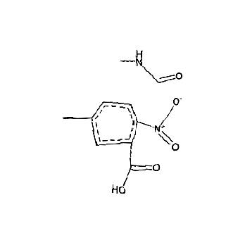 CNC=O.Cc1ccc([N+](=O)[O-])c(C(=O)O)c1